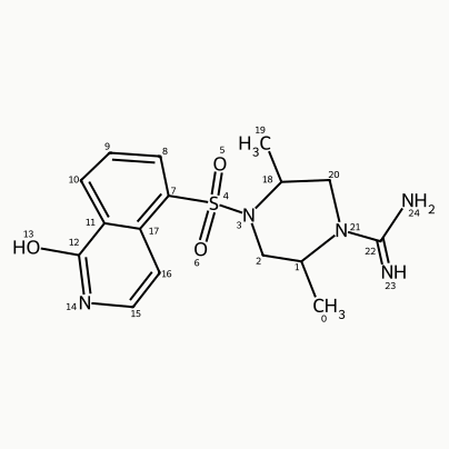 CC1CN(S(=O)(=O)c2cccc3c(O)nccc23)C(C)CN1C(=N)N